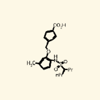 CCCC(C(C)C)S(=O)(=O)Nc1ccc(C)cc1OCc1ccc(C(=O)O)cc1